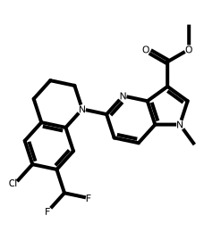 COC(=O)c1cn(C)c2ccc(N3CCCc4cc(Cl)c(C(F)F)cc43)nc12